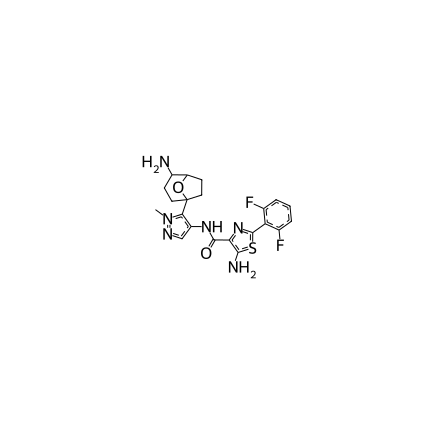 Cn1ncc(NC(=O)c2nc(-c3c(F)cccc3F)sc2N)c1C12CCC(N)C(CC1)O2